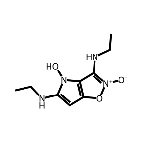 CCNc1cc2o[n+]([O-])c(NCC)c2n1O